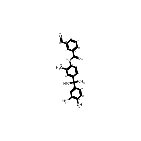 Cc1cc(C(C)(C)c2ccc(OC(=O)c3cccc(C=O)c3)c(C)c2)ccc1O